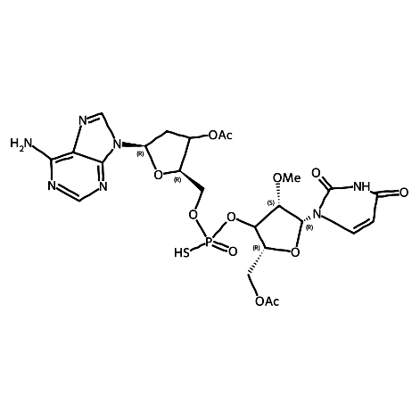 CO[C@H]1C(OP(=O)(S)OC[C@H]2O[C@@H](n3cnc4c(N)ncnc43)CC2OC(C)=O)[C@@H](COC(C)=O)O[C@H]1n1ccc(=O)[nH]c1=O